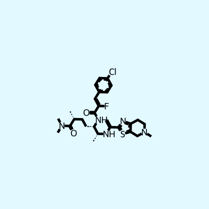 C=C(N[C@H](C)[C@H](CC[C@@H](C)C(=O)N(C)C)NC(=O)/C(F)=C/c1ccc(Cl)cc1)c1nc2c(s1)CN(C)CC2